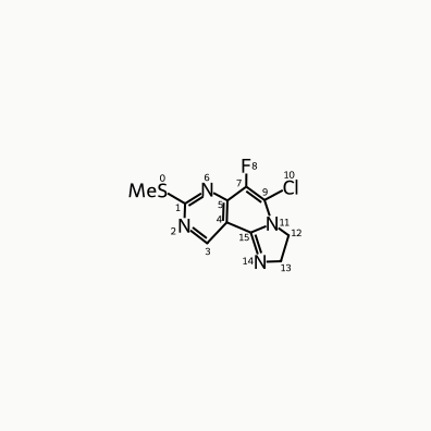 CSc1ncc2c(n1)C(F)=C(Cl)N1CCN=C21